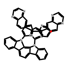 c1ccc(-c2cccc(-n3c4ccccc4c4ccc5c6ccccc6n(-c6nc(-c7ccc8nccnc8c7)cc(-c7ccc8nccnc8c7)n6)c5c43)n2)nc1